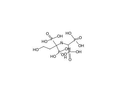 O=P(O)(O)C([N]C(CCO)(P(=O)(O)O)P(=O)(O)O)P(=O)(O)O